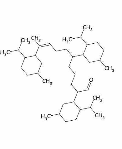 C/C(=C/CCC(CCCC(C=O)C1CC(C)CCC1C(C)C)C1CC(C)CCC1C(C)C)C1CC(C)CCC1C(C)C